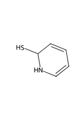 SC1C=CC=CN1